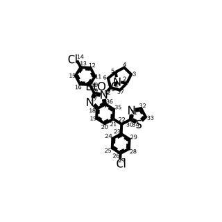 CCOC(=O)N1C2CCC1CC(n1c(-c3ccc(Cl)cc3)nc3ccc(C(c4ccc(Cl)cc4)c4nccs4)cc31)C2